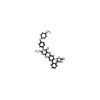 CCCc1nc(C)n(-c2ccc(OC3CCC(C)CC3)cc2)c(=O)c1Cc1ccc(-c2ccccc2-c2noc(=O)[nH]2)cc1